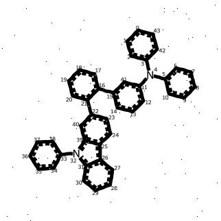 c1ccc(N(c2ccccc2)c2cccc(-c3ccccc3-c3ccc4c5ccccc5n(-c5ccccc5)c4c3)c2)cc1